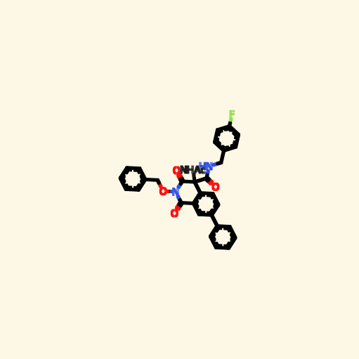 CC(=O)NC1(C(=O)NCc2ccc(F)cc2)C(=O)N(OCc2ccccc2)C(=O)c2cc(-c3ccccc3)ccc21